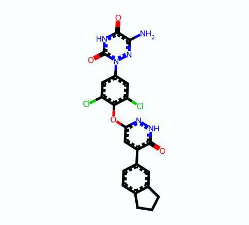 Nc1nn(-c2cc(Cl)c(Oc3cc(-c4ccc5c(c4)CCC5)c(=O)[nH]n3)c(Cl)c2)c(=O)[nH]c1=O